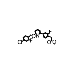 COC(=O)Cc1ccc(-c2cccc(OCc3ccc(Cl)cc3F)n2)cc1F